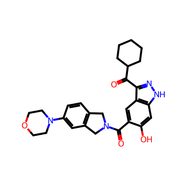 O=C(c1n[nH]c2cc(O)c(C(=O)N3Cc4ccc(N5CCOCC5)cc4C3)cc12)C1CCCCC1